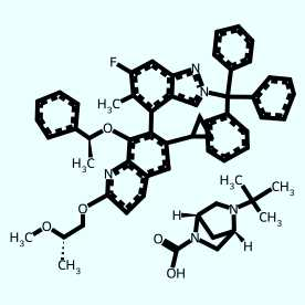 CC(C)(C)N1C[C@@H]2C[C@H]1CN2C(=O)O.CO[C@@H](C)COc1ccc2cc(C3CC3)c(-c3c(C)c(F)cc4nn(C(c5ccccc5)(c5ccccc5)c5ccccc5)cc34)c(O[C@@H](C)c3ccccc3)c2n1